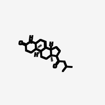 CC(C)CC(=O)C1CC[C@H]2C3=CCC4NC(=O)CC[C@]4(C)[C@@H]3CC[C@]12C